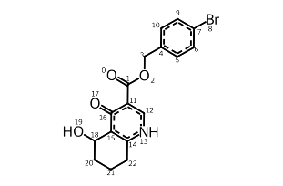 O=C(OCc1ccc(Br)cc1)c1c[nH]c2c(c1=O)C(O)CCC2